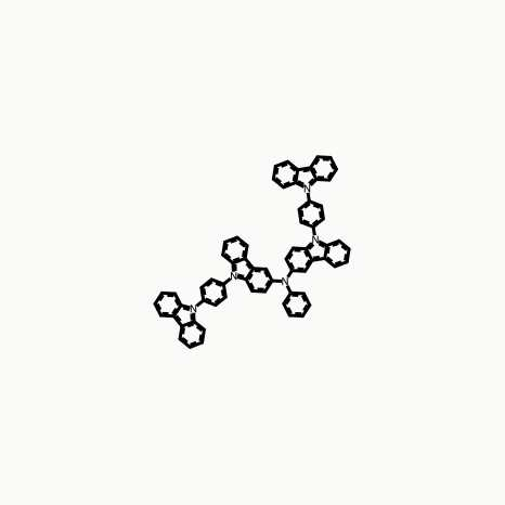 c1ccc(N(c2ccc3c(c2)c2ccccc2n3-c2ccc(-n3c4ccccc4c4ccccc43)cc2)c2ccc3c(c2)c2ccccc2n3-c2ccc(-n3c4ccccc4c4ccccc43)cc2)cc1